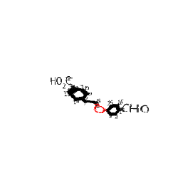 O=Cc1ccc(OCCc2ccc(C(=O)O)cc2)cc1